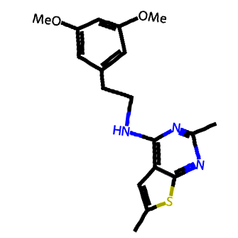 COc1cc(CCNc2nc(C)nc3sc(C)cc23)cc(OC)c1